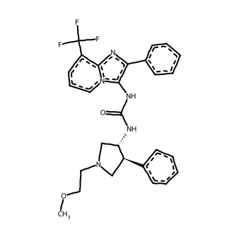 COCCN1C[C@H](NC(=O)Nc2c(-c3ccccc3)nc3c(C(F)(F)F)cccn23)[C@@H](c2ccccc2)C1